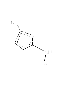 N#Cc1ccc(NN)s1